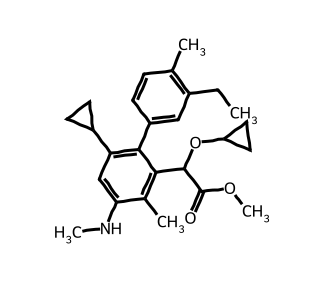 CCc1cc(-c2c(C3CC3)cc(NC)c(C)c2C(OC2CC2)C(=O)OC)ccc1C